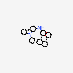 c1ccc(-c2cccc3cccc(-c4cccc(Nc5ccc6c7ccccc7n(-c7ccccc7)c6c5)c4)c23)cc1